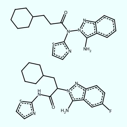 Nc1c2cc(F)ccc2nn1C(CC1CCCCC1)C(=O)Nc1nccs1.Nc1c2ccccc2nn1N(C(=O)CCC1CCCCC1)c1nccs1